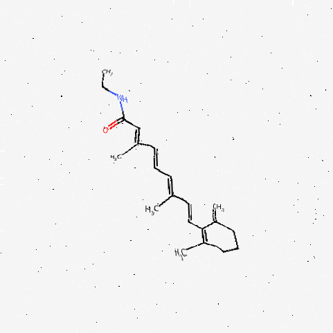 C=C1CCCC(C)=C1/C=C/C(C)=C/C=C/C(C)=C/C(=O)NCC